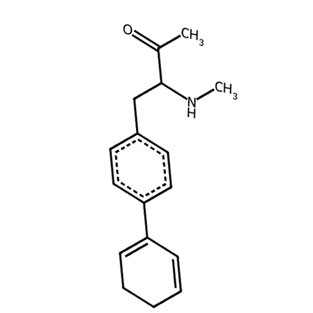 CNC(Cc1ccc(C2=CCCC=C2)cc1)C(C)=O